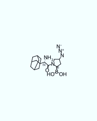 [N-]=[N+]=NC1C[C@@H](B(O)O)N(C(=O)[C@@H](N)C23CC4CC(CC(C4)C2)C3)C1